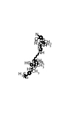 Cc1ncsc1-c1ccc([C@H](C)NC(=O)[C@@H]2C[C@@H](O)CN2C(=O)[C@H](c2ncc(CCCCCNc3ccc(C(=O)NC4C(C)(C)C(Oc5ccc(C#N)c(Cl)c5)C4(C)C)nc3)n2C)C(C)C)cc1